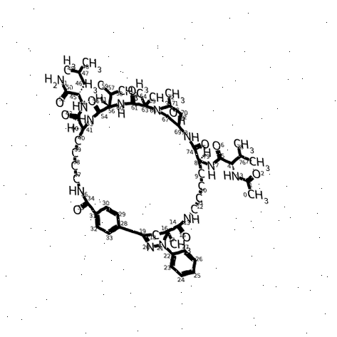 CC(=O)N[C@H](C(=O)N[C@H]1CCCCNC(=O)C2(C)CC(=NN2c2ccccc2)c2ccc(cc2)C(=O)NCCCC[C@@H](C(=O)N[C@@H](CC(C)C)C(N)=O)NC(=O)[C@H](C(C)C)NC(=O)C(C)(C)N2C(=O)[C@H](CC2C)NC1=O)C(C)C